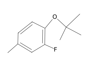 Cc1ccc(OC(C)(C)C)c(F)c1